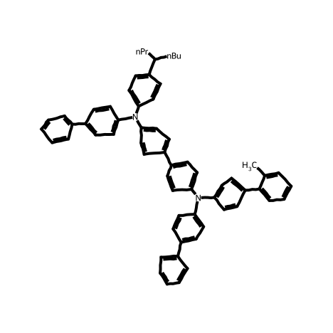 CCCCC(CCC)c1ccc(N(c2ccc(-c3ccccc3)cc2)c2ccc(-c3ccc(N(c4ccc(-c5ccccc5)cc4)c4ccc(-c5ccccc5C)cc4)cc3)cc2)cc1